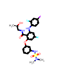 C[C@@H](O)CNC(=O)c1c(Nc2ccc(I)cc2F)cc(F)cc1Oc1cccc(NS(=O)(=O)N(C)C)c1